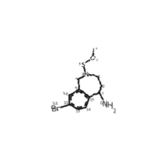 NC1CCN(SOI)Cc2cc(Br)ccc21